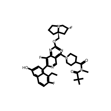 CCc1c(F)ccc2cc(O)cc(-c3ncc4c(N5CCC(C(=O)N(C)C(=O)C(C)(C)C)CC5)nc(OC[C@@]56CCCN5C[C@H](F)C6)nc4c3F)c12